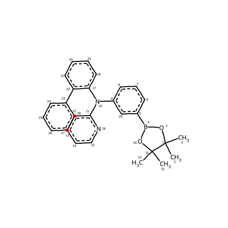 CC1(C)OB(c2cccc(N(c3ccccn3)c3ccccc3-c3ccccc3)c2)OC1(C)C